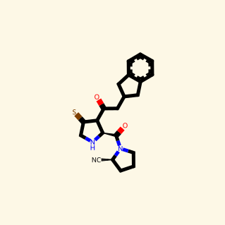 N#C[C@@H]1CCCN1C(=O)[C@H]1NCC(=S)C1C(=O)CC1Cc2ccccc2C1